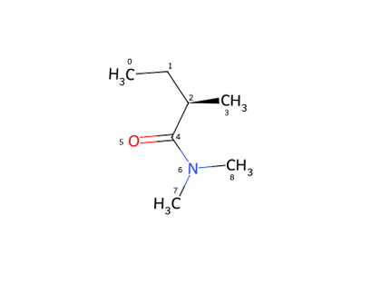 CC[C@@H](C)C(=O)N(C)C